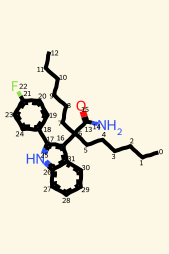 CCCCCCC(CCCCCC)(C(N)=O)c1c(-c2ccc(F)cc2)[nH]c2ccccc12